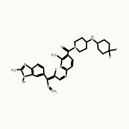 C=N/C(=C(F)\C=N/c1ccc(C(=O)N2CCC(NC3CCC(F)(F)CC3)CC2)c(C)n1)c1ccc2nc(C)n(C(C)C)c2c1